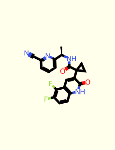 C[C@@H](NC(=O)C1(c2cc3c(F)c(F)ccc3[nH]c2=O)CC1)c1cccc(C#N)n1